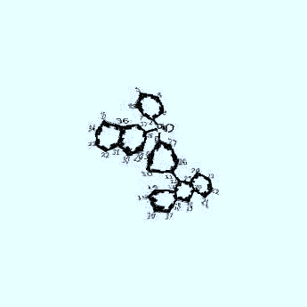 O=P(c1ccccc1)(c1ccc(-c2c3ccccc3cc3ccccc23)cc1)c1ccc2ccccc2c1